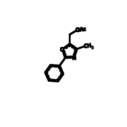 CC(=O)OCc1oc(-c2ccccc2)nc1C